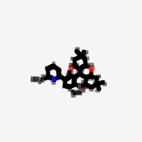 COc1ccc(-c2cccc(C(=O)O)n2)c(C)c1C1C2=C(CC(C)(C)CC2=O)OC2=C1C(=O)CC(C)(C)C2.[NaH]